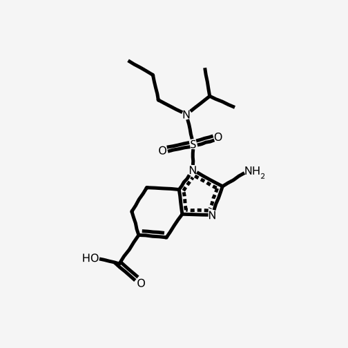 CCCN(C(C)C)S(=O)(=O)n1c(N)nc2c1CCC(C(=O)O)=C2